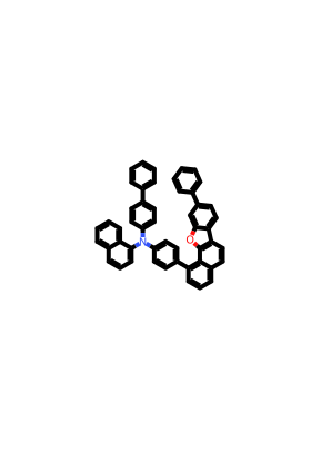 c1ccc(-c2ccc(N(c3ccc(-c4cccc5ccc6c7ccc(-c8ccccc8)cc7oc6c45)cc3)c3cccc4ccccc34)cc2)cc1